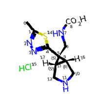 Cc1nnc([C@]2(CNC(=O)O)[C@@H]3CNC[C@@H]32)s1.Cl